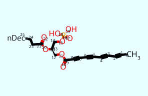 CC#CC#CC#CC#CC(=O)OC[C@H](COP(=O)(O)O)OC(=O)CCCCCCCCCCCC